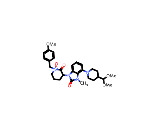 COc1ccc(C[N+]2([O-])CCCC(n3c(=O)n(C)c4c(N5CCC(C(OC)OC)CC5)cccc43)C2=O)cc1